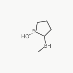 CBC1CCC[C@H]1O